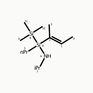 C/C=C(\C)[Si](CCC)(NC(C)C)[Si](C)(C)C